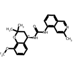 Cc1cc2c(NC(=O)N[C@@H]3CC(C)(C)Oc4c(OC(F)(F)F)cccc43)cccc2cn1